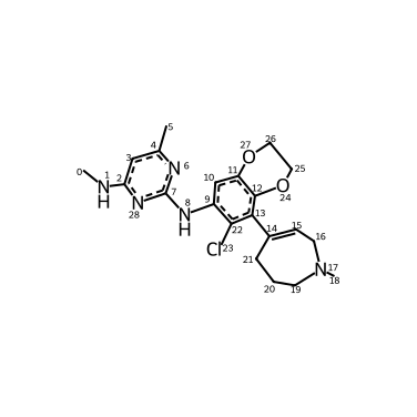 CNc1cc(C)nc(Nc2cc3c(c(C4=CCN(C)CCC4)c2Cl)OCCO3)n1